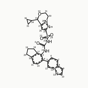 O=C(Nc1c(-c2ccc3ccnn3c2)ccc2c1CCC2)NS(=O)(=O)c1cc2n(n1)CCOC2C1CC1